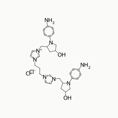 Nc1ccc(N2CC(O)CC2Cn2cc[n+](CCCn3cc[n+](CC4CC(O)CN4c4ccc(N)cc4)c3)c2)cc1.[Cl-].[Cl-]